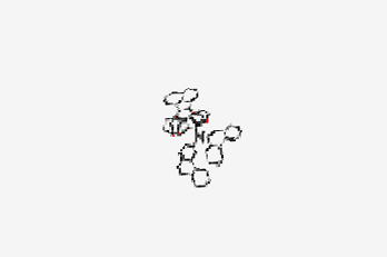 c1ccc2c(c1)-c1ccccc1C13c4cccc5cccc(c45)C21c1cccc2c(N(c4ccc5ccc6ccccc6c5c4)c4cc5ccccc5c5ccccc45)ccc3c12